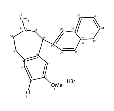 Br.COc1cc2c(cc1Cl)CCN(C)CC2c1ccc2ccccc2c1